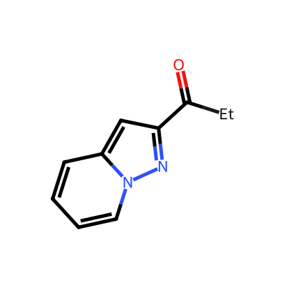 CCC(=O)c1cc2ccccn2n1